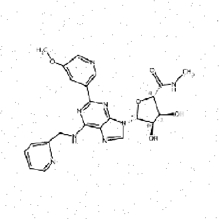 CNC(=O)[C@H]1O[C@@H](n2cnc3c(NCc4ccccn4)nc(-c4cncc(OC)c4)nc32)[C@H](O)[C@@H]1O